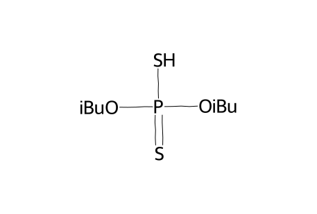 CC(C)COP(=S)(S)OCC(C)C